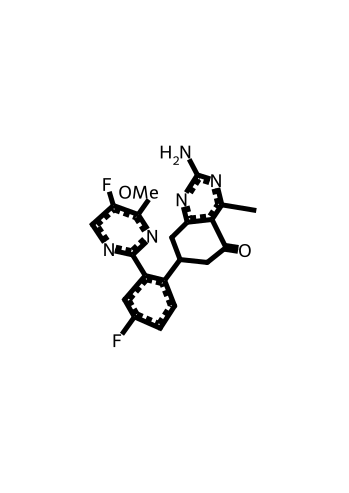 COc1nc(-c2cc(F)ccc2C2CC(=O)c3c(C)nc(N)nc3C2)ncc1F